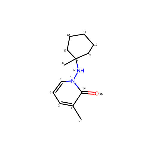 Cc1cccn(NC2(C)CCCCC2)c1=O